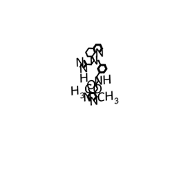 Cc1ncnc(C)c1OC(=O)NCc1cccc(CN(Cc2cnc[nH]2)C2CCCc3cccnc32)c1